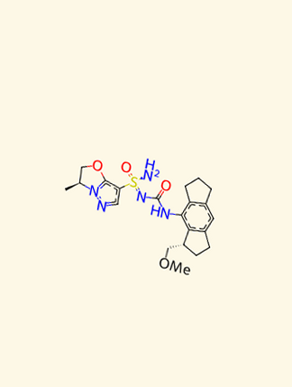 COC[C@H]1CCc2cc3c(c(NC(=O)N=[S@@](N)(=O)c4cnn5c4OC[C@@H]5C)c21)CCC3